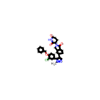 Cn1ncc(-c2ccc3c(c2)CN(C2CCC(=O)NC2=O)C3=O)c1-c1ccc(OCc2ccccc2)c(Cl)c1